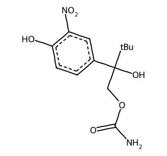 CC(C)(C)C(O)(COC(N)=O)c1ccc(O)c([N+](=O)[O-])c1